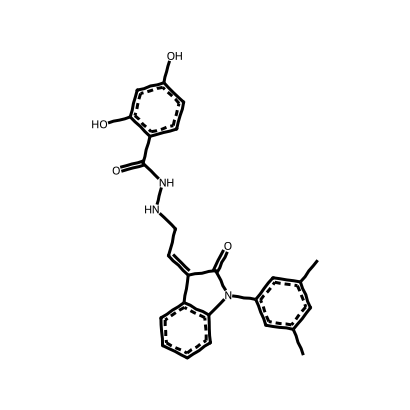 Cc1cc(C)cc(N2C(=O)C(=CCNNC(=O)c3ccc(O)cc3O)c3ccccc32)c1